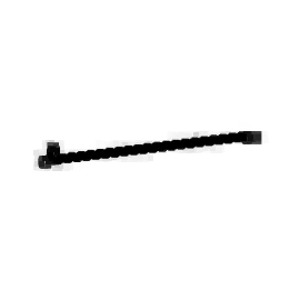 OCCCCCCCCCCCCCCCCCCCCCCCCCCCCCCCCCCCCCCCC[SiH](Cl)Cl